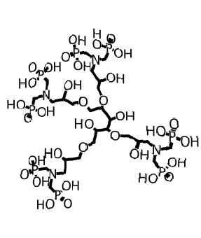 O=P(O)(O)CN(CC(O)COCC(O)C(OCC(O)CN(CP(=O)(O)O)CP(=O)(O)O)C(O)C(COCC(O)CN(CP(=O)(O)O)CP(=O)(O)O)OCC(O)CN(CP(=O)(O)O)CP(=O)(O)O)CP(=O)(O)O